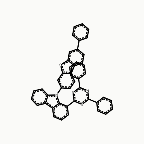 c1ccc(-c2ccc3c(c2)oc2cc(-n4c5ccccc5c5cccc(-c6nc(-c7ccccc7)nc(-c7ccccc7)n6)c54)ccc23)cc1